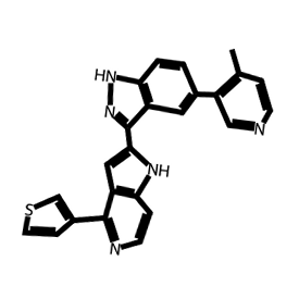 Cc1ccncc1-c1ccc2[nH]nc(-c3cc4c(-c5ccsc5)nccc4[nH]3)c2c1